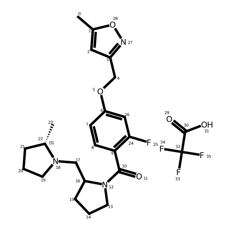 Cc1cc(COc2ccc(C(=O)N3CCCC3CN3CCC[C@@H]3C)c(F)c2)no1.O=C(O)C(F)(F)F